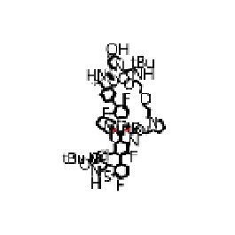 C[C@H](NC(=O)[C@@H]1C[C@@H](O)CN1C(=O)[C@@H](NC(=O)CCOCCCN1CCCC1COc1nc(N2CC3CCC(C2)N3C(=O)OC(C)(C)C)c2cc(Cl)c(-c3ccc(F)c4sc(NC(=O)OC(C)(C)C)c(C#N)c34)c(F)c2n1)C(C)(C)C)c1ccc(-c2c(F)cccc2F)cc1